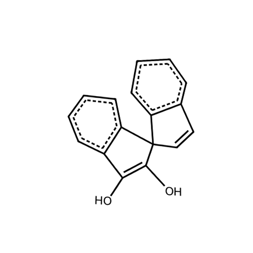 OC1=C(O)C2(C=Cc3ccccc32)c2ccccc21